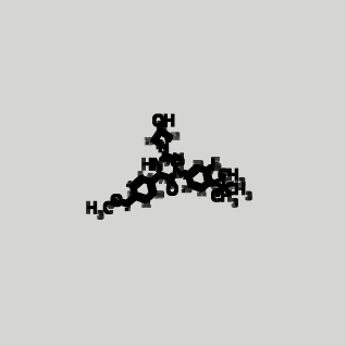 COCc1ccc([C@@H](NC(=O)N2CC(O)C2)C(=O)Nc2ccc([Si](C)(C)C)c(F)c2)cc1